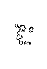 COc1ccc(Cn2nc(-c3cccs3)ccc2=O)cc1